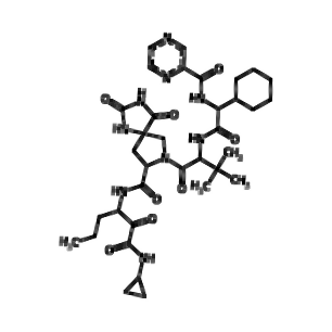 CCCC(NC(=O)C1CC2(CN1C(=O)C(NC(=O)C(NC(=O)c1cnccn1)C1CCCCC1)C(C)(C)C)NC(=O)NC2=O)C(=O)C(=O)NC1CC1